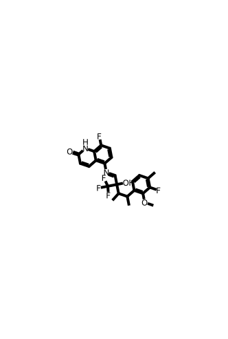 COc1c(C(C)C(C)C(O)(C=Nc2ccc(F)c3[nH]c(=O)ccc23)C(F)(F)F)ccc(C)c1F